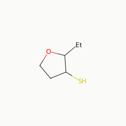 CCC1OCCC1S